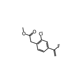 C=C(F)c1ccc(CC(=O)OC)c(Cl)c1